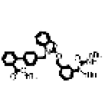 CCCCNC(=O)N(CCCC)c1cccc(COc2nc3ccccc3n2Cc2ccc(-c3ccccc3C(=O)OC(C)(C)C)cc2)c1